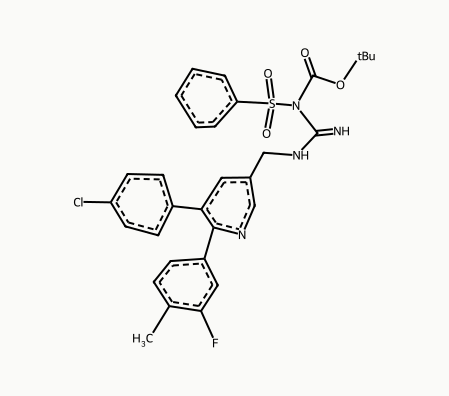 Cc1ccc(-c2ncc(CNC(=N)N(C(=O)OC(C)(C)C)S(=O)(=O)c3ccccc3)cc2-c2ccc(Cl)cc2)cc1F